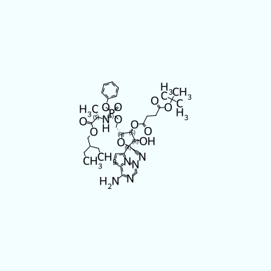 CCC(CC)COC(=O)[C@H](C)N[P@](=O)(OC[C@H]1O[C@@](C#N)(c2ccc3c(N)ncnn23)[C@H](O)[C@@H]1OC(=O)CCC(=O)OC(C)(C)C)Oc1ccccc1